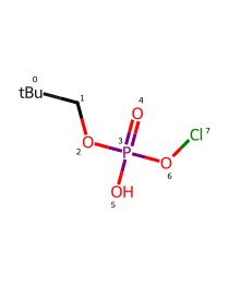 CC(C)(C)COP(=O)(O)OCl